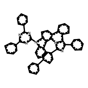 c1ccc(-c2ccc(-c3nc(-c4ccccc4)c4c5ccccc5c5ccc6c(c7ccccc7n6-c6nc(-c7ccccc7)nc(-c7ccccc7)n6)c5n34)cc2)cc1